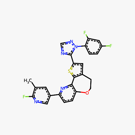 Cc1cc(-c2ccc3c(n2)-c2sc(-c4ncnn4-c4ccc(F)cc4F)cc2CCO3)cnc1F